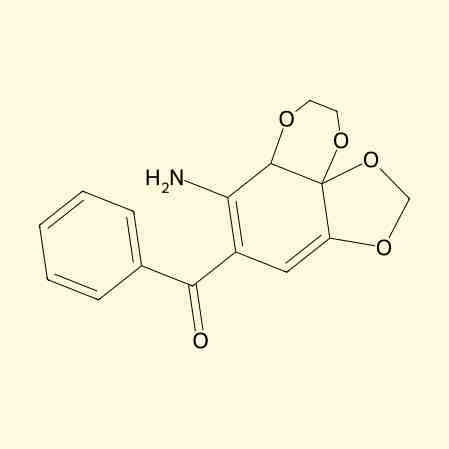 NC1=C(C(=O)c2ccccc2)C=C2OCOC23OCCOC13